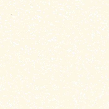 CCCCOc1ccc(OS(=O)(=O)c2ccc(N)c(N)c2)cc1